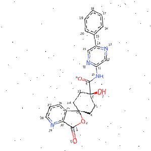 O=C1O[C@]2(CC[C@@](O)(C(=O)Nc3cnc(-c4ccccc4)cn3)CC2)c2cccnc21